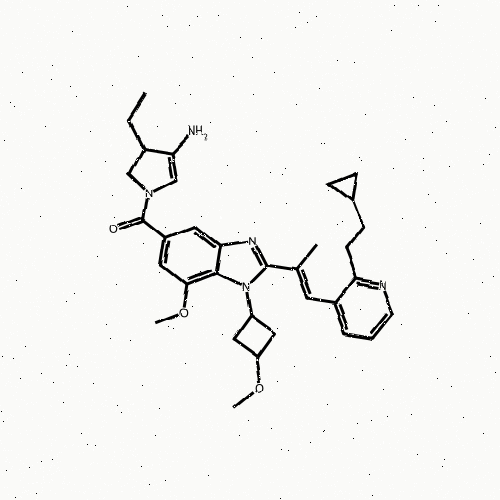 CCC1CN(C(=O)c2cc(OC)c3c(c2)nc(/C(C)=C/c2cccnc2CCC2CC2)n3C2CC(OC)C2)C=C1N